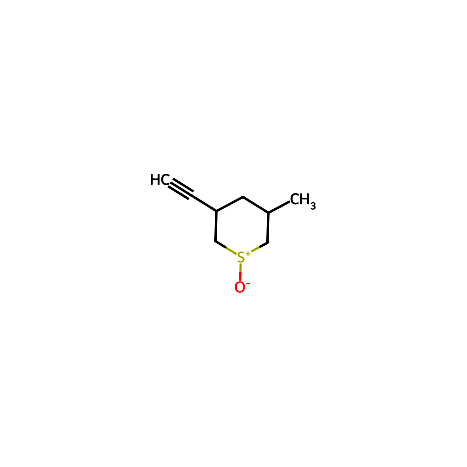 C#CC1CC(C)C[S+]([O-])C1